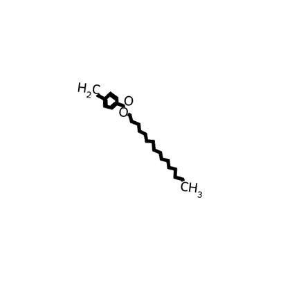 C=Cc1ccc(C(=O)OCCCCCCCCCCCCCCCC)cc1